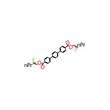 CCC[C@H](F)COC(=O)c1ccc(-c2ccc(-c3ccc(C(=O)OC[C@@H](F)CCC)cc3)cc2)cc1